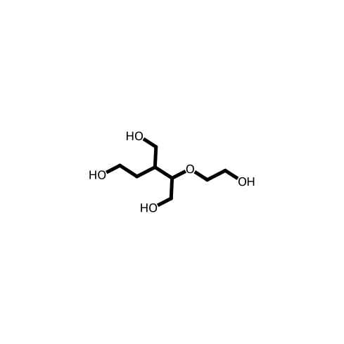 OCCOC(CO)C(CO)CCO